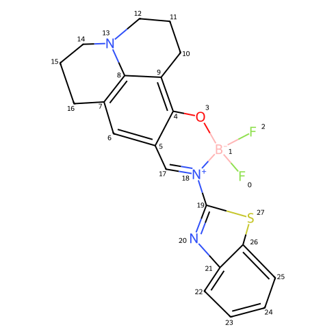 F[B-]1(F)Oc2c(cc3c4c2CCCN4CCC3)C=[N+]1c1nc2ccccc2s1